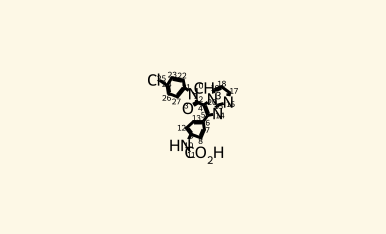 CN(C(=O)c1c(-c2ccc(NC(=O)O)cc2)nc2ncccn12)c1ccc(Cl)cc1